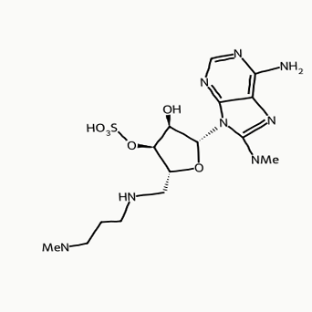 CNCCCNC[C@H]1O[C@@H](n2c(NC)nc3c(N)ncnc32)[C@H](O)[C@@H]1OS(=O)(=O)O